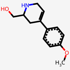 COc1ccc(C2=CCNC(CO)C2)cc1